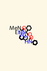 CC[C@H](NC)C(=O)N[C@H](C(=O)N1c2ncccc2C[C@H]1C(=O)Nc1ccccc1)C1CCCCC1